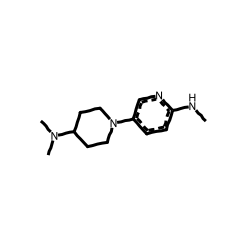 CNc1ccc(N2CCC(N(C)C)CC2)cn1